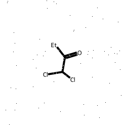 [CH2]CC(=O)C(Cl)Cl